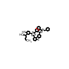 C#C/C(=C\C=C/C)c1cc(-c2nc(-c3ccccc3)nc(-c3cccc4sc5ccc(/C(N=C)=N/C(=N\Cc6ccccc6)c6ccccc6)cc5c34)n2)ccc1S